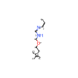 C/C=C\N=C/NCOCC[Si](C)(C)C